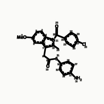 COc1ccc2c(c1)c(CC(=O)Sc1ccc(N)cc1)c(C)n2C(=O)c1ccc(Cl)cc1